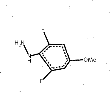 COc1cc(F)c(NN)c(F)c1